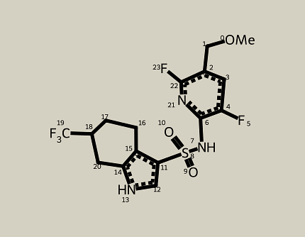 COCc1cc(F)c(NS(=O)(=O)c2c[nH]c3c2CCC(C(F)(F)F)C3)nc1F